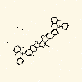 Cc1cccc(C)c1N(c1ccccc1)c1ccc2cc3c(cc2c1)oc1c3cc(C)c2c3cc4ccc(N(c5ccccc5)c5c(C)cccc5C)cc4cc3oc12